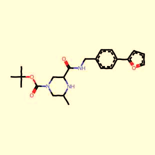 CC1CN(C(=O)OC(C)(C)C)CC(C(=O)NCc2ccc(-c3ccco3)cc2)N1